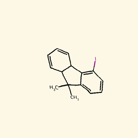 CC1(C)c2cccc(I)c2C2C=CC=CC21